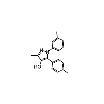 Cc1ccc(-c2c(O)c(C)nn2-c2cccc(C)c2)cc1